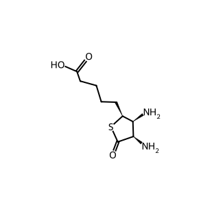 N[C@@H]1[C@H](CCCCC(=O)O)SC(=O)[C@@H]1N